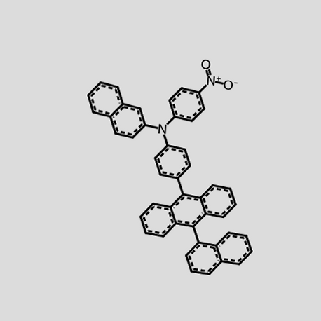 O=[N+]([O-])c1ccc(N(c2ccc(-c3c4ccccc4c(-c4cccc5ccccc45)c4ccccc34)cc2)c2ccc3ccccc3c2)cc1